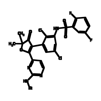 CCNc1nccc(C2=C(c3cc(Cl)cc(NS(=O)(=O)c4cc(F)ccc4F)c3Cl)C(=O)C(C)(C)O2)n1